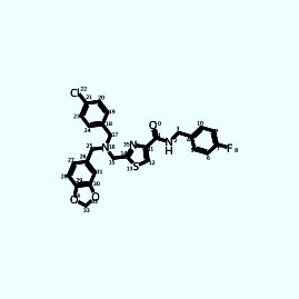 O=C(NCc1ccc(F)cc1)c1csc(CN(Cc2ccc(Cl)cc2)Cc2ccc3c(c2)OCO3)n1